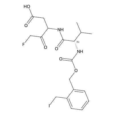 CC(C)[C@H](NC(=O)OCc1ccccc1CI)C(=O)NC(CC(=O)O)C(=O)CF